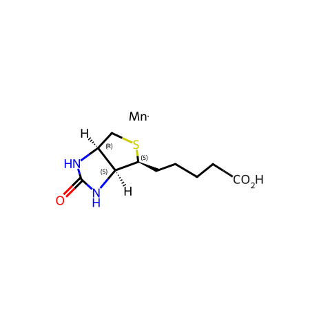 O=C(O)CCCC[C@@H]1SC[C@@H]2NC(=O)N[C@@H]21.[Mn]